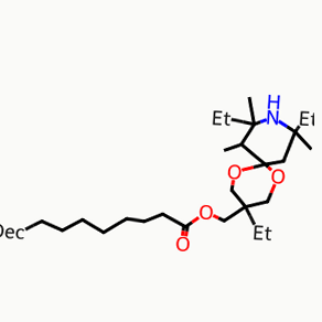 CCCCCCCCCCCCCCCCCC(=O)OCC1(CC)COC2(CC(C)(CC)NC(C)(CC)C2C)OC1